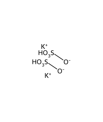 O=S(=O)([O-])O.O=S(=O)([O-])O.[K+].[K+]